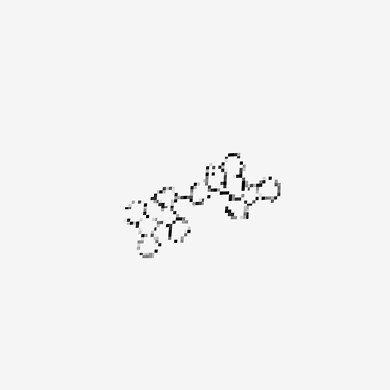 c1ccc2c(c1)-c1ccccc1C21c2ccccc2-c2c(-c3ccc4c(c3)Oc3cccc5c3B4c3cccc4c6ccccc6n-5c34)cccc21